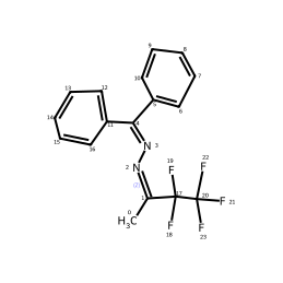 C/C(=N/N=C(c1ccccc1)c1ccccc1)C(F)(F)C(F)(F)F